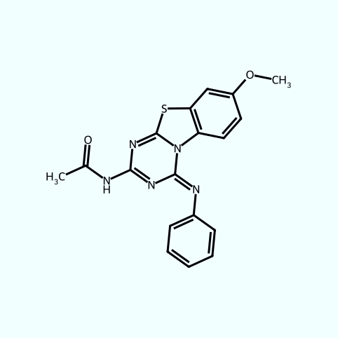 COc1ccc2c(c1)sc1nc(NC(C)=O)n/c(=N\c3ccccc3)n12